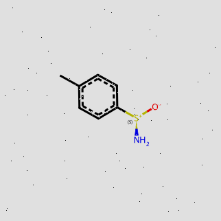 Cc1ccc([S@+](N)[O-])cc1